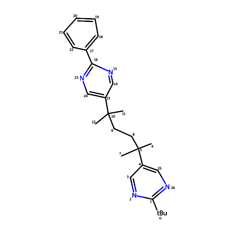 CC(C)(C)c1ncc(C(C)(C)CCC(C)(C)c2cnc(-c3ccccc3)nc2)cn1